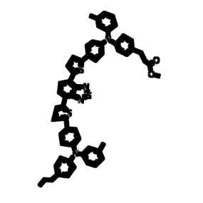 CCCc1ccc(N(c2ccc(-c3ccc(-c4ccc(-c5ccc(-c6ccc(N(c7ccc(CCC(=O)OC)cc7)c7cccc(C)c7)cc6)s5)c5nsnc45)s3)cc2)c2cccc(C)c2)cc1